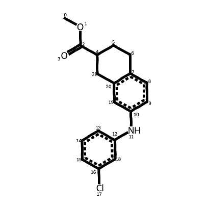 COC(=O)C1CCc2ccc(Nc3cccc(Cl)c3)cc2C1